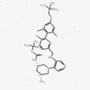 C[C@@H]1C[C@H](NC(=O)OC(C)(C)C)CN(c2ccncc2NCc2ccc(F)c(-c3c(F)cc(OCC(C)(C)O)cc3F)n2)C1